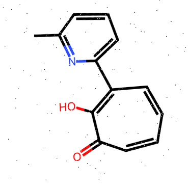 Cc1cccc(-c2ccccc(=O)c2O)n1